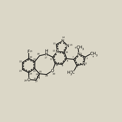 Cc1nc(C)n(C)c1-c1cc2c(n3cnnc13)NCc1c(F)ccc3c1[C@@H](CO3)CO2